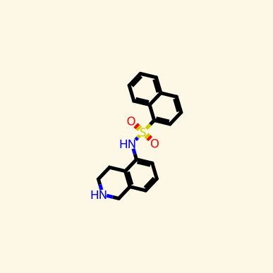 O=S(=O)(Nc1cccc2c1CCNC2)c1cccc2ccccc12